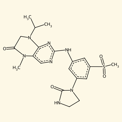 CC(C)N1CC(=O)N(C)c2cnc(Nc3cc(N4CCNC4=O)cc(S(C)(=O)=O)c3)nc21